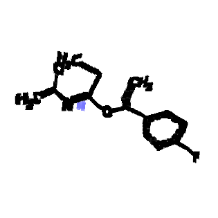 C=C(Cl)/N=C(\CC)OC(=C)c1ccc(F)cc1